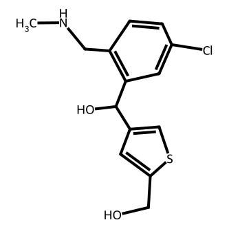 CNCc1ccc(Cl)cc1C(O)c1csc(CO)c1